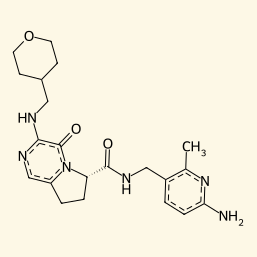 Cc1nc(N)ccc1CNC(=O)[C@@H]1CCc2cnc(NCC3CCOCC3)c(=O)n21